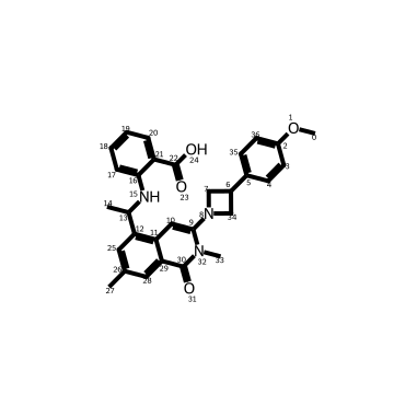 COc1ccc(C2CN(c3cc4c(C(C)Nc5ccccc5C(=O)O)cc(C)cc4c(=O)n3C)C2)cc1